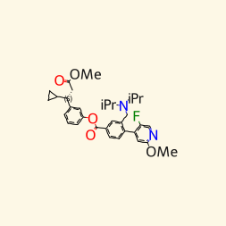 COC(=O)C[C@H](c1cccc(OC(=O)c2ccc(-c3cc(OC)ncc3F)c(CN(C(C)C)C(C)C)c2)c1)C1CC1